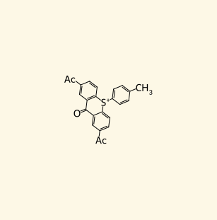 CC(=O)c1ccc2c(c1)c(=O)c1cc(C(C)=O)ccc1[s+]2-c1ccc(C)cc1